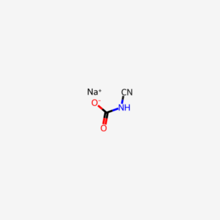 N#CNC(=O)[O-].[Na+]